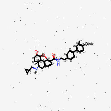 CCN(CC1CC1)[C@@H]1Cc2ccc(C(=O)NCCc3ccc(-c4ccc(OC)c(C)c4)cc3)c3c2C2[C@H]1CCC(=O)[C@@H]2O3